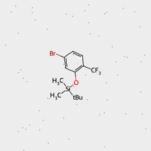 CC(C)(C)[Si](C)(C)Oc1cc(Br)ccc1C(F)(F)F